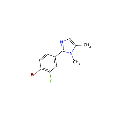 Cc1cnc(-c2ccc(Br)c(F)c2)n1C